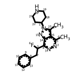 Cc1nnc(C(F)Cc2ccccc2)c2nn(C3CCNCC3)c(C)c12